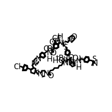 Cc1ncsc1-c1ccc([C@H](C)NC(=O)[C@@H]2CCCN2C(=O)[C@@H](NC(O)CCCCCCC(=O)N2CCN(C[C@]3(C)CCC(c4ccc(Cl)cc4)=C(CN4CCN(c5ccc(C(=O)NS(=O)(=O)c6ccc(N[C@H](CCN7CCOCC7)CSc7ccccc7)c(S(=O)(=O)C(F)(F)F)c6)cc5)CC4)C3)CC2)C(C)(C)C)cc1